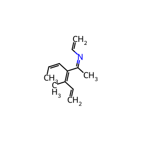 C=C/N=C(/C)C(/C=C\C)=C(C)C=C